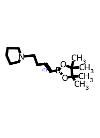 CC1(C)OB(/C=C/CCN2CCCCC2)OC1(C)C